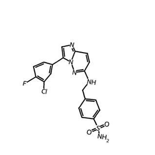 NS(=O)(=O)c1ccc(CNc2ccc3ncc(-c4ccc(F)c(Cl)c4)n3n2)cc1